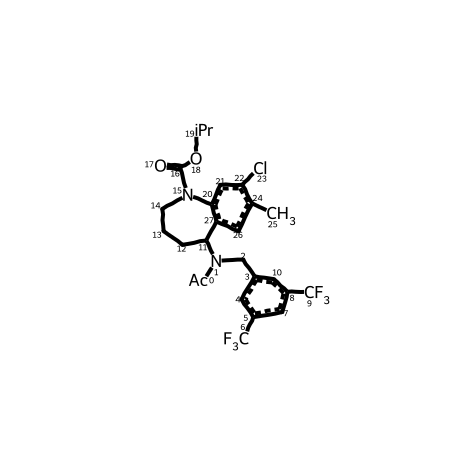 CC(=O)N(Cc1cc(C(F)(F)F)cc(C(F)(F)F)c1)C1CCCN(C(=O)OC(C)C)c2cc(Cl)c(C)cc21